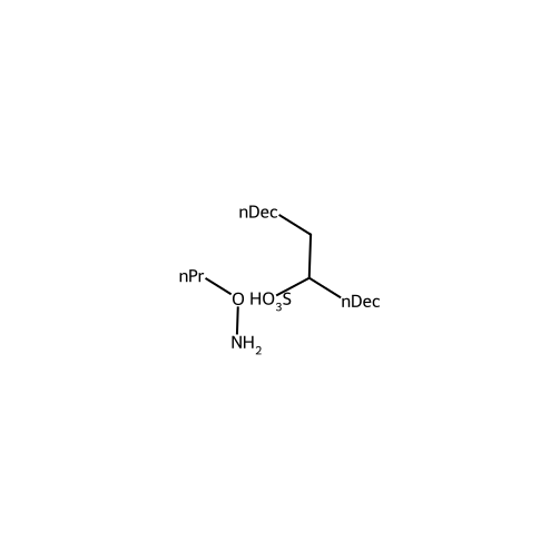 CCCCCCCCCCCC(CCCCCCCCCC)S(=O)(=O)O.CCCON